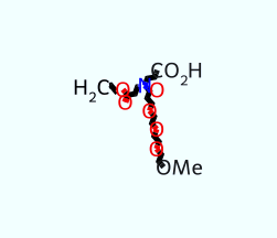 C=CCOC(=O)CCN(CCC(=O)O)C(=O)CCOCCOCCOCCOC